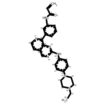 C=CC(=O)Nc1cccc(-c2nccc3cnc(Nc4ccc(N5CCN(CC)CC5)cc4)nc23)c1